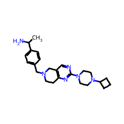 CC(N)c1ccc(CN2CCc3nc(N4CCN(C5CCC5)CC4)ncc3C2)cc1